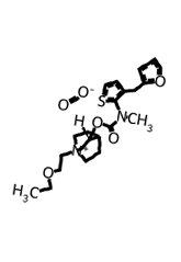 CCOCC[N+]12CCC(CC1)[C@@H](OC(=O)N(C)c1sccc1Cc1ccco1)C2.O=C[O-]